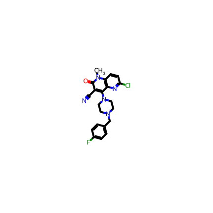 Cn1c(=O)c(C#N)c(N2CCN(Cc3ccc(F)cc3)CC2)c2nc(Cl)ccc21